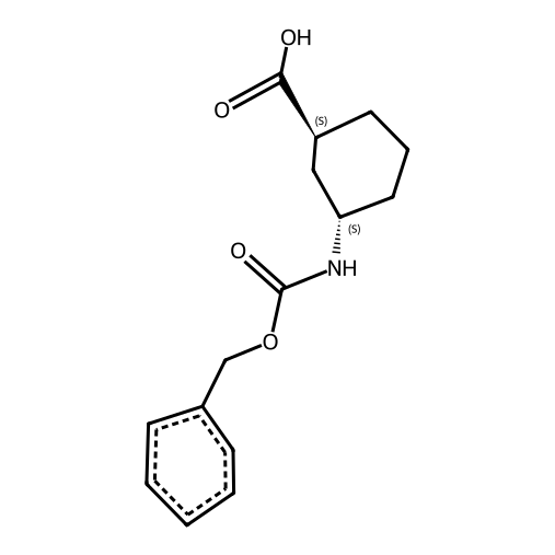 O=C(N[C@H]1CCC[C@H](C(=O)O)C1)OCc1ccccc1